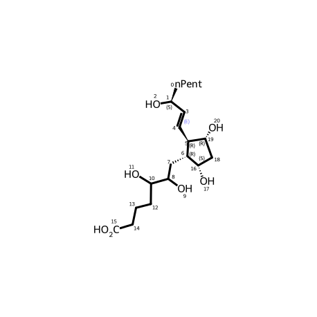 CCCCC[C@H](O)/C=C/[C@@H]1[C@@H](CC(O)C(O)CCCC(=O)O)[C@@H](O)C[C@H]1O